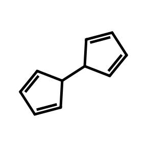 C1=CC(C2C=CC=C2)C=C1